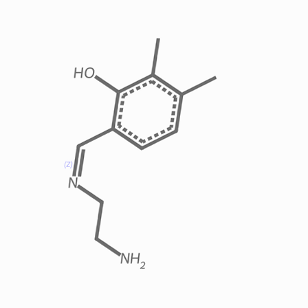 Cc1ccc(/C=N\CCN)c(O)c1C